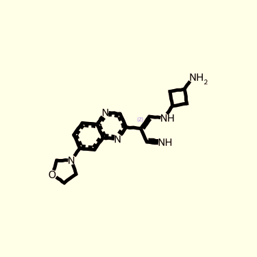 N=C/C(=C\NC1CC(N)C1)c1cnc2ccc(N3CCOC3)cc2n1